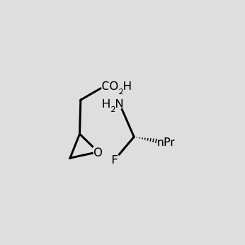 CCC[C@@H](N)F.O=C(O)CC1CO1